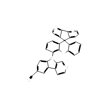 N#Cc1ccc2c(c1)c1ccncc1n2-c1cccc2c1Oc1ccccc1C21c2cccnc2-c2ncccc21